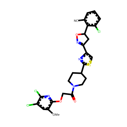 COc1cc(Cl)c(Cl)nc1OCC(=O)N1CCC(c2nc(C3=NOC(c4c(Cl)cccc4C#N)C3)cs2)CC1